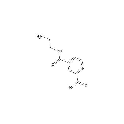 NCCNC(=O)c1ccnc(C(=O)O)c1